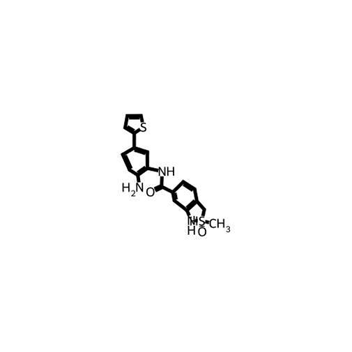 C[SH]1(=O)Cc2ccc(C(=O)Nc3cc(-c4cccs4)ccc3N)cc2N1